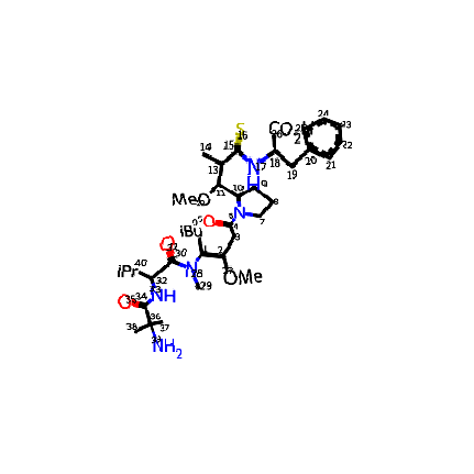 CCC(C)C(C(CC(=O)N1CCCC1C(OC)C(C)C(=S)NC(Cc1ccccc1)C(=O)O)OC)N(C)C(=O)C(NC(=O)C(C)(C)N)C(C)C